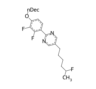 CCCCCCCCCCOc1ccc(-c2ncc(CCCCC(C)F)cn2)c(F)c1F